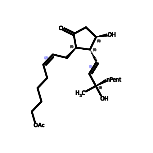 CCCCC[C@](C)(O)/C=C/[C@H]1[C@H](O)CC(=O)[C@@H]1C/C=C\CCCCOC(C)=O